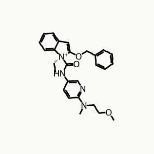 CC[N@@+]1(C(=O)Nc2ccc(N(C)CCOC)nc2)C(OCc2ccccc2)=Cc2ccccc21